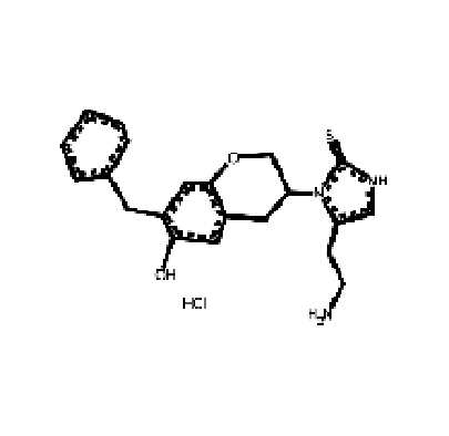 Cl.NCCc1c[nH]c(=S)n1C1COc2cc(Cc3ccccc3)c(O)cc2C1